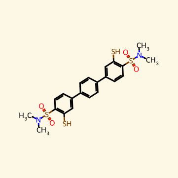 CN(C)S(=O)(=O)c1ccc(-c2ccc(-c3ccc(S(=O)(=O)N(C)C)c(S)c3)cc2)cc1S